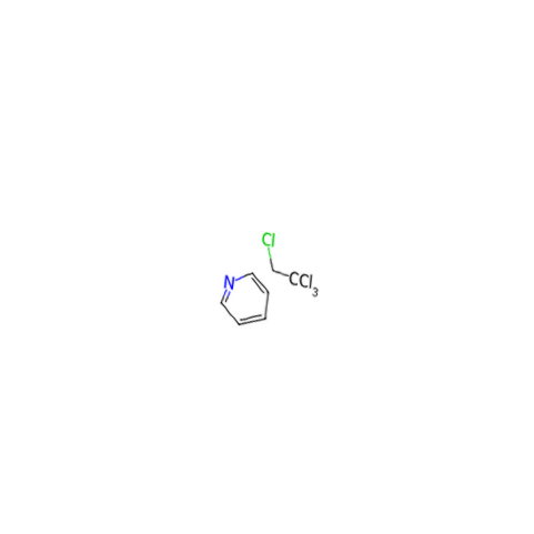 ClCC(Cl)(Cl)Cl.c1ccncc1